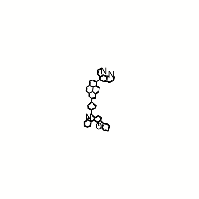 C1=CC2=CC=C(c3cc4cccnc4c4ncccc34)C3=CC=C4C=C(c5ccc(-c6nc7ccccc7c7c6ccc6c8ccccc8oc67)cc5)C=C1C4C23